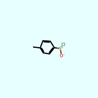 Cc1ccc([S+]([O-])Cl)cc1